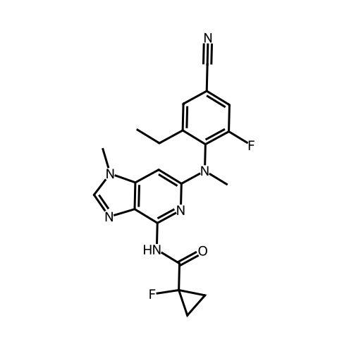 CCc1cc(C#N)cc(F)c1N(C)c1cc2c(ncn2C)c(NC(=O)C2(F)CC2)n1